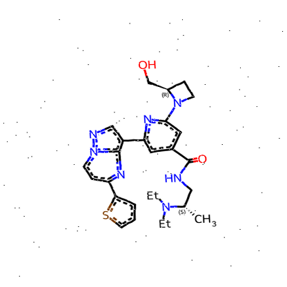 CCN(CC)[C@@H](C)CNC(=O)c1cc(-c2cnn3ccc(-c4cccs4)nc23)nc(N2CC[C@@H]2CO)c1